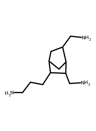 NCCCC1C2CC(CN)C(C2)C1CN